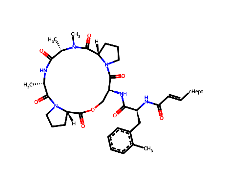 CCCCCCC/C=C/C(=O)N[C@@H](Cc1ccccc1C)C(=O)N[C@H]1COC(=O)[C@@H]2CCCN2C(=O)[C@H](C)NC(=O)[C@H](C)N(C)C(=O)[C@@H]2CCCN2C1=O